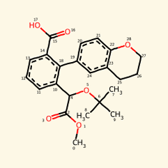 COC(=O)C(OC(C)(C)C)c1cccc(C(=O)O)c1-c1ccc2c(c1)CCCO2